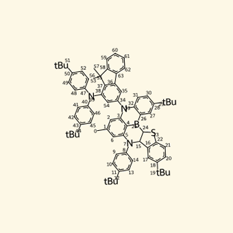 Cc1cc2c3c(c1)N(c1ccc(C(C)(C)C)cc1)C1c4cc(C(C)(C)C)ccc4SC1B3c1cc(C(C)(C)C)ccc1N2c1cc2c(c(N(c3ccc(C(C)(C)C)cc3)c3ccc(C(C)(C)C)cc3)c1)C(C)(C)c1ccccc1-2